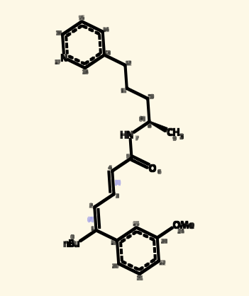 CCCC/C(=C/C=C/C(=O)N[C@H](C)CCCc1cccnc1)c1cccc(OC)c1